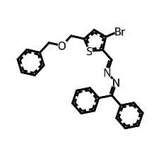 Brc1cc(COCc2ccccc2)sc1C=NN=C(c1ccccc1)c1ccccc1